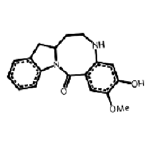 COc1cc2c(cc1O)NCCC1Cc3ccccc3N1C2=O